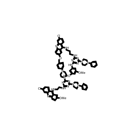 COc1cc(Nc2nc(NCCCNc3c4ccc(Cl)cc4nc4ccc(OCc5ccc(N6CCN(c7nc(NCCNc8c9ccc(Cl)cc9nc9ccc(OC)cc89)nc(N8CCN(c9ccccc9)CC8)n7)CC6)cc5)cc34)nc(N3CCN(c4ccccc4)CC3)n2)cc(OC)c1